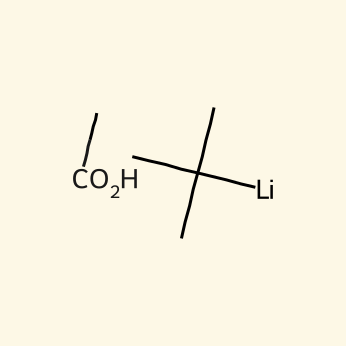 CC(=O)O.[Li][C](C)(C)C